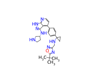 CC(C)(C)c1nc(CNC2(c3ccc(-c4ccnc5[nH]nc(N[C@@H]6CCNC6)c45)cc3)CC2)no1